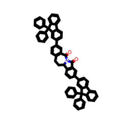 O=C1c2cc(-c3ccc4c(c3)C(c3ccccc3)(c3ccccc3)c3ccccc3-4)ccc2CCC2c3ccc(-c4ccc5c(c4)C(c4ccccc4)(c4ccccc4)c4ccccc4-5)cc3C(=O)N12